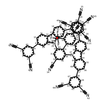 N#Cc1cc(C#N)cc(-c2ccc3c4ccc(-c5cc(C#N)cc(C#N)c5)cc4n(-c4cc(C#N)cc(-n5c6cc(-c7cc(C#N)cc(C#N)c7)ccc6c6ccc(-c7cc(C#N)cc(C#N)c7)cc65)c4-c4ccc(C#N)cc4C(F)(F)F)c3c2)c1